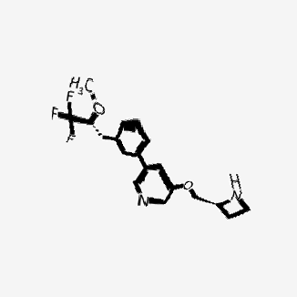 CO[C@H](Cc1cccc(-c2cncc(OC[C@@H]3CCN3)c2)c1)C(F)(F)F